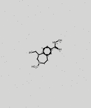 CC(C)CC1CN(C(=O)O)CCc2cc(C(=N)NO)ccc21